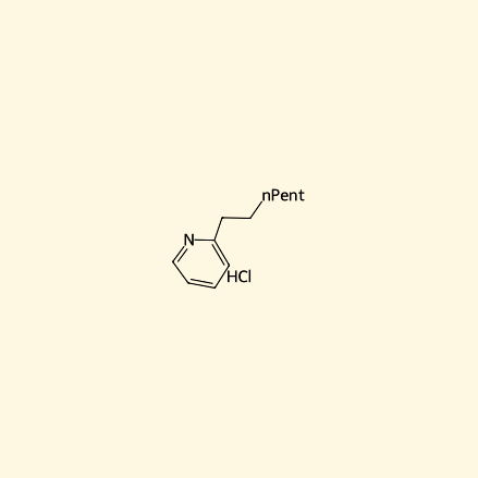 CCCCCCCc1ccccn1.Cl